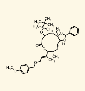 COc1ccc(COC/C=C(\C)[C@H]2OC(=O)CC(O[Si](C)(C)C(C)(C)C)CC[C@@]3(C)O[C@@H](c4ccccc4)O[C@H]3/C=C/[C@@H]2C)cc1